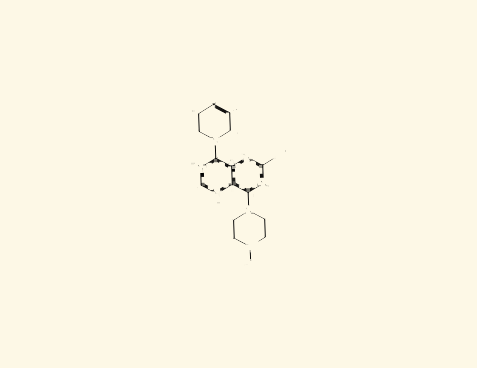 [O-][S+]1CCN(c2nc(Cl)nc3c(N4CC=CCC4)ncnc23)CC1